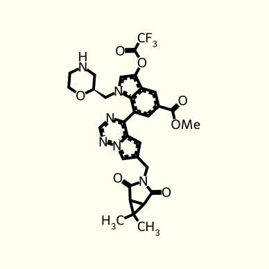 COC(=O)c1cc(-c2ncnn3cc(CN4C(=O)C5C(C4=O)C5(C)C)cc23)c2c(c1)c(OC(=O)C(F)(F)F)cn2C[C@@H]1CNCCO1